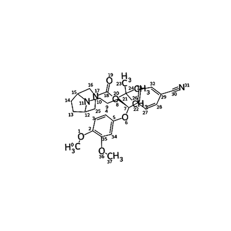 COc1ccc(O[C@@H](CCCN2C3CCC2CN(C(=O)OC(C)(C)C)C3)c2ccc(C#N)cc2)cc1OC